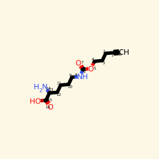 C#CCCCOC(=O)NCCCCC(N)C(=O)O